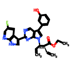 C=C[C@H]([C@@H](C=C)C(=O)OCC)n1cc(-c2cccc(O)c2)c2cnc(-c3c[nH]c4ncc(F)cc34)nc21